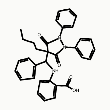 CCCCC1(C(Nc2ccccc2C(=O)O)c2ccccc2)C(=O)N(c2ccccc2)N(c2ccccc2)C1=O